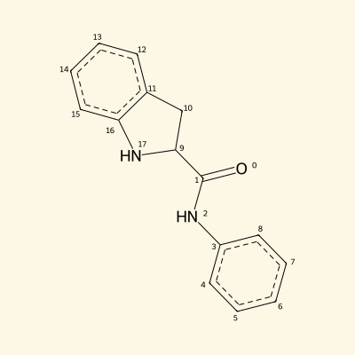 O=C(Nc1ccccc1)C1Cc2ccccc2N1